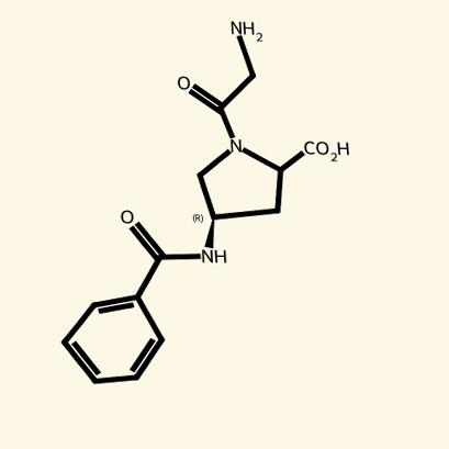 NCC(=O)N1C[C@H](NC(=O)c2ccccc2)CC1C(=O)O